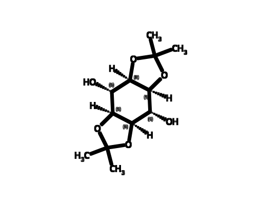 CC1(C)O[C@@H]2[C@@H](O)[C@@H]3OC(C)(C)O[C@@H]3[C@@H](O)[C@@H]2O1